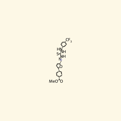 COC(=O)c1ccc(-c2ccc(/C=N/NC(=S)NNc3ccc(C(F)(F)F)cc3)o2)cc1